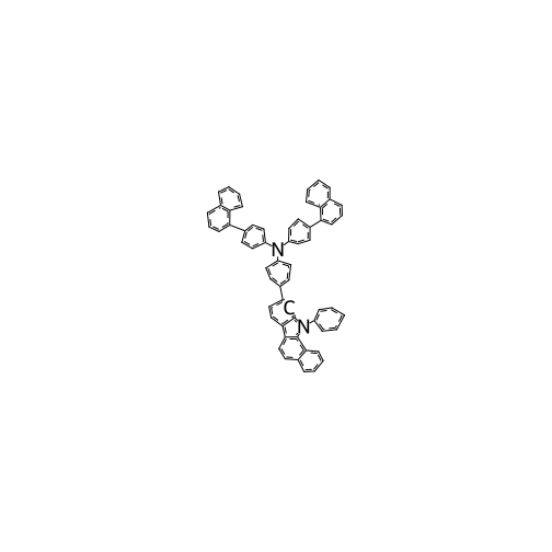 c1ccc(-n2c3cc(-c4ccc(N(c5ccc(-c6cccc7ccccc67)cc5)c5ccc(-c6cccc7ccccc67)cc5)cc4)ccc3c3ccc4ccccc4c32)cc1